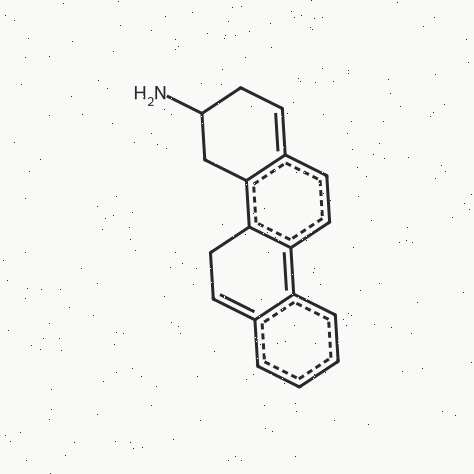 NC1CC=c2ccc3c(c2C1)CC=c1ccccc1=3